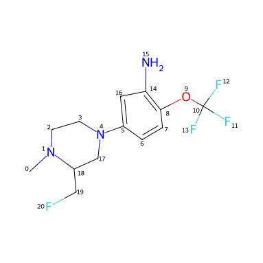 CN1CCN(c2ccc(OC(F)(F)F)c(N)c2)CC1CF